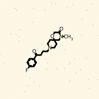 CN1CC2(CCN(CCCC(=O)c3ccc(F)cc3)CC2)OCC1=O